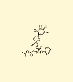 C#C[C@@]1(CO[P@](=O)(N[C@@H](C)C(=O)OC(C)C)Oc2ccccc2)C=C[C@H](n2cc(C)c(=O)[nH]c2=O)O1